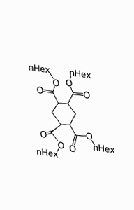 CCCCCCOC(=O)C1CC(C(=O)OCCCCCC)C(C(=O)OCCCCCC)CC1C(=O)OCCCCCC